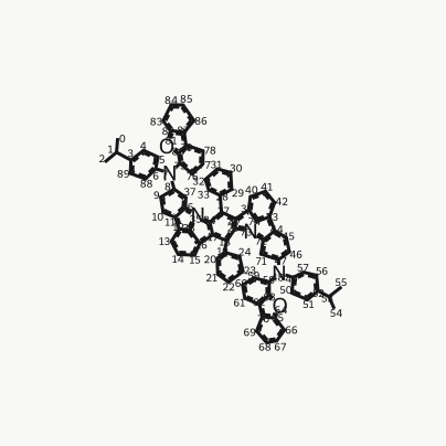 CC(C)c1ccc(N(c2ccc3c4cccc5c6c(-c7ccccc7)c7c(c(-c8ccccc8)c6n(c3c2)c45)c2cccc3c4ccc(N(c5ccc(C(C)C)cc5)c5cccc6c5oc5ccccc56)cc4n7c32)c2cccc3c2oc2ccccc23)cc1